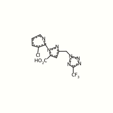 O=C(O)c1cc(Cn2nnc(C(F)(F)F)n2)nn1-c1ncccc1Cl